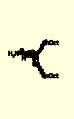 CCCCCCCC/C=C\CCCCCCCC(=O)OCC(COP(=O)(O)OCCNC(=O)CCN)OC(=O)CCCCCCC/C=C\CCCCCCCC